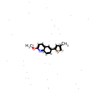 COc1ccc2cc(-c3cc(C)cs3)ccc2n1